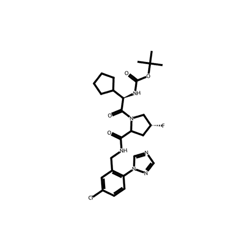 CC(C)(C)OC(=O)N[C@@H](C(=O)N1C[C@H](F)CC1C(=O)NCc1cc(Cl)ccc1-n1cncn1)C1CCCC1